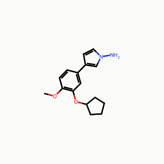 COc1ccc(-c2ccn(N)c2)cc1OC1CCCC1